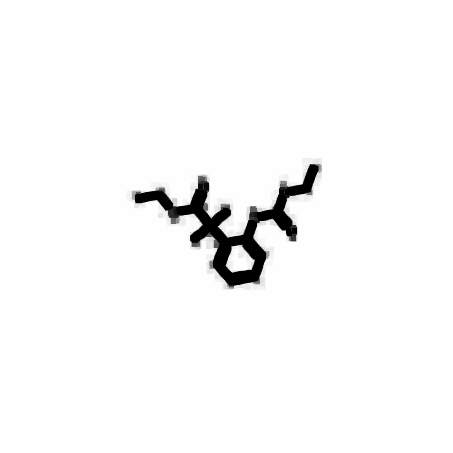 CCOC(=O)Oc1ccccc1C(C)(C)C(=O)OCC